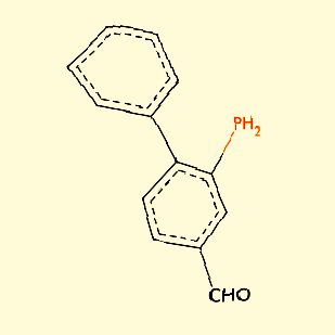 O=Cc1ccc(-c2ccccc2)c(P)c1